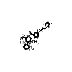 CC1(C)CN(C(=O)c2cccc(OCCCN3CCCC3)c2)C=C(C(=O)O)c2[nH]c3ccccc3c21